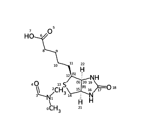 CN(C)C=O.O=C(O)CCCC[C@@H]1SC[C@@H]2NC(=O)N[C@@H]21